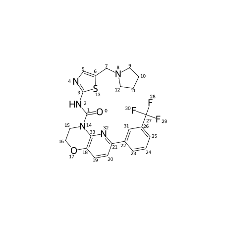 O=C(Nc1ncc(CN2CCCC2)s1)N1CCOc2ccc(-c3cccc(C(F)(F)F)c3)nc21